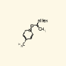 C=C(CCCCCC)ON1C=CC(C)=CC1